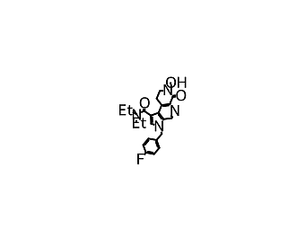 CCN(CC)C(=O)c1cn(Cc2ccc(F)cc2)c2cnc3c(c12)CCN(O)C3=O